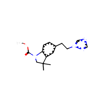 CC(C)(C)OC(=O)N1CC(C)(C)c2cc(CCn3cncn3)ccc21